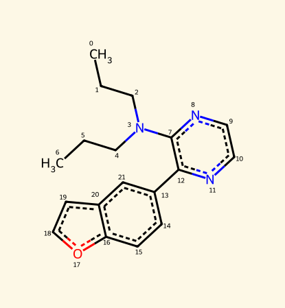 CCCN(CCC)c1nccnc1-c1ccc2occc2c1